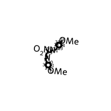 COc1ccc(CN=CC(C=NCc2ccc(OC)cc2)[N+](=O)[O-])cc1